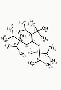 CC(C)C(C(CC(O)(C(C)C)C(C)C)CC(O)(C(C)C)C(C)C)C(C)(C)O